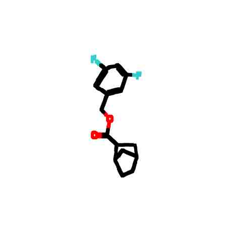 O=C(OCc1cc(F)cc(F)c1)C1CC2CCC1C2